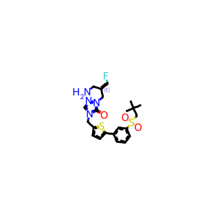 CC(C)(C)CS(=O)(=O)c1cccc(-c2ccc(Cn3cnn(C/C(=C/F)CN)c3=O)s2)c1